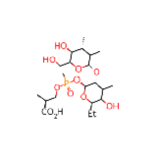 CC[C@H]1O[C@@H](OP(C)(=O)OC[C@H](C)C(=O)O)[C@H](O[C@@H]2OC(CO)[C@@H](O)[C@H](C)C2C)C(C)C1O